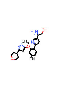 Cn1nc(C2CCOCC2)cc1Oc1cc(C#N)ccc1-c1ccc(C(N)CO)cn1